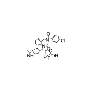 CC(=N)N1CCC(CN2C(=O)CN(C(=O)c3ccc(Cl)cc3)Cc3ccccc32)CC1.O=C(O)C(F)(F)F